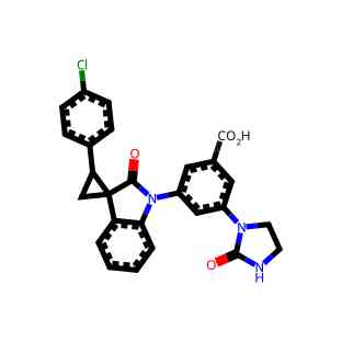 O=C(O)c1cc(N2CCNC2=O)cc(N2C(=O)C3(CC3c3ccc(Cl)cc3)c3ccccc32)c1